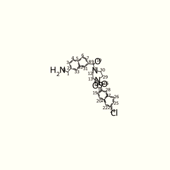 NCc1ccc2ccc(C(=O)N3CCN(S(=O)(=O)c4ccc5cc(Cl)ccc5c4)CC3)cc2c1